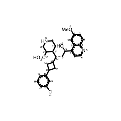 COc1ccc2nccc([C@H](O)C[C@H](C3CC(c4cccc(Cl)c4)C3)C3CCNCC3C(=O)O)c2c1